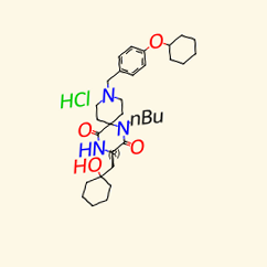 CCCCN1C(=O)[C@@H](CC2(O)CCCCC2)NC(=O)C12CCN(Cc1ccc(OC3CCCCC3)cc1)CC2.Cl